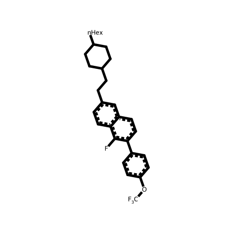 CCCCCCC1CCC(CCc2ccc3c(F)c(-c4ccc(OC(F)(F)F)cc4)ccc3c2)CC1